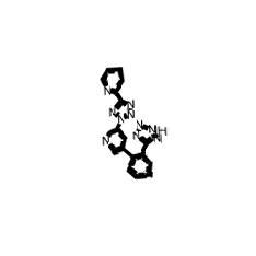 c1ccc(-c2nnn(-c3cncc(-c4ccccc4-c4nn[nH]n4)c3)n2)nc1